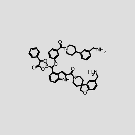 NCc1cccc(C2CCN(C(=O)c3cccc(OC(B4OC(=O)C(c5ccccc5)O4)c4cccc5[nH]c(C(=O)N6CCC7(CC6)COc6ccc(CN)cc67)cc45)c3)CC2)c1